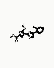 COC(=O)c1cc(-c2nc(-c3ccccc3C)cs2)c(SC)s1